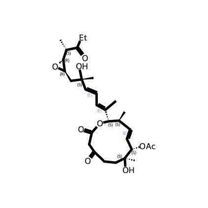 CCC(=O)[C@@H](C)[C@H]1O[C@@H]1C[C@](C)(O)/C=C/C=C(\C)[C@H]1OC(=O)CC(=O)CC[C@](C)(O)[C@@H](OC(C)=O)/C=C/[C@@H]1C